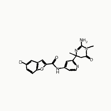 CN1C(=O)CC(C)(c2cc(NC(=O)c3cc4cc(Cl)ccc4o3)ccn2)N=C1N